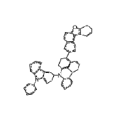 C1=CCC(c2ccccc2N(C2=CC=C(c3ccc4c(ccc5oc6c(c54)C=CCC6)c3)CC2)C2C=c3c(n(-c4ccccc4)c4ccccc34)=CC2)C=C1